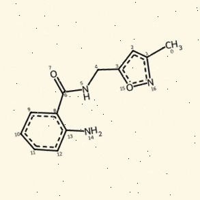 Cc1cc(CNC(=O)c2ccccc2N)on1